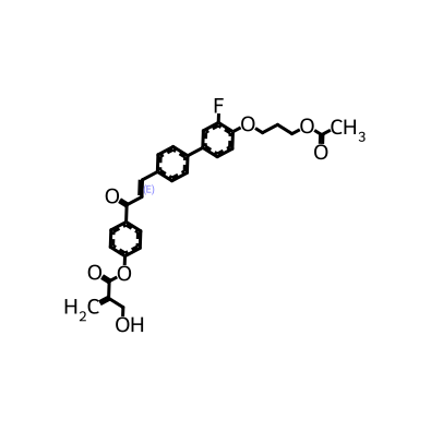 C=C(CO)C(=O)Oc1ccc(C(=O)/C=C/c2ccc(-c3ccc(OCCCOC(C)=O)c(F)c3)cc2)cc1